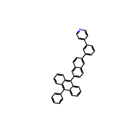 c1ccc(-c2c3ccccc3c(-c3ccc4cc(-c5cccc(-c6ccncc6)c5)ccc4c3)c3ccccc23)cc1